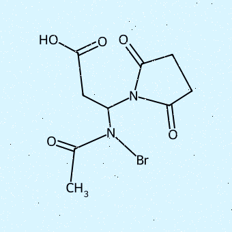 CC(=O)N(Br)C(CC(=O)O)N1C(=O)CCC1=O